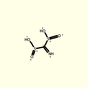 N=C(S(=O)O)S(=O)O